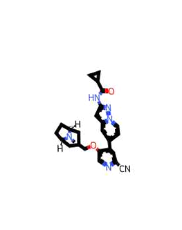 CN1[C@@H]2CC[C@H]1CC(COc1cnc(C#N)cc1-c1ccn3nc(NC(=O)C4CC4)cc3c1)C2